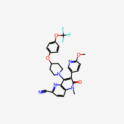 COc1ccc(-c2c(N3CCC(Oc4ccc(OC(F)(F)F)cc4)CC3)c3nc(C#N)ccc3n(C)c2=O)cn1